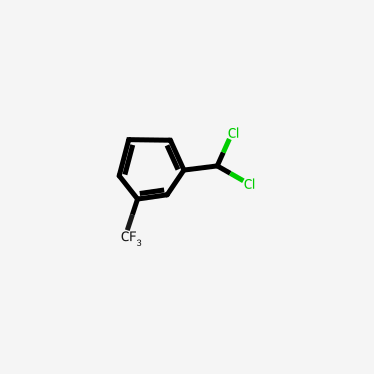 FC(F)(F)c1cccc(C(Cl)Cl)c1